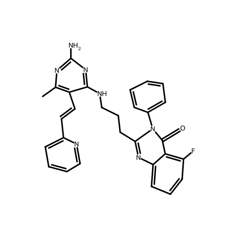 Cc1nc(N)nc(NCCCc2nc3cccc(F)c3c(=O)n2-c2ccccc2)c1/C=C/c1ccccn1